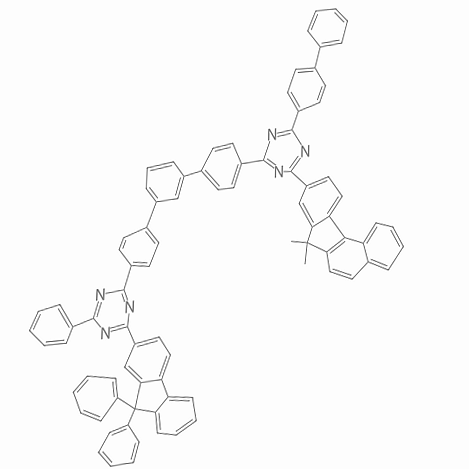 CC1(C)c2cc(-c3nc(-c4ccc(-c5ccccc5)cc4)nc(-c4ccc(-c5cccc(-c6ccc(-c7nc(-c8ccccc8)nc(-c8ccc9c(c8)C(c8ccccc8)(c8ccccc8)c8ccccc8-9)n7)cc6)c5)cc4)n3)ccc2-c2c1ccc1ccccc21